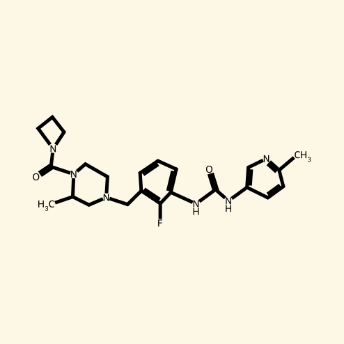 Cc1ccc(NC(=O)Nc2cccc(CN3CCN(C(=O)N4CCC4)C(C)C3)c2F)cn1